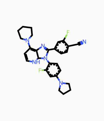 N#Cc1ccc(C2=NC3=C(N4CCCCC4)C=CNC3N2c2ccc(N3CCCC3)cc2F)cc1F